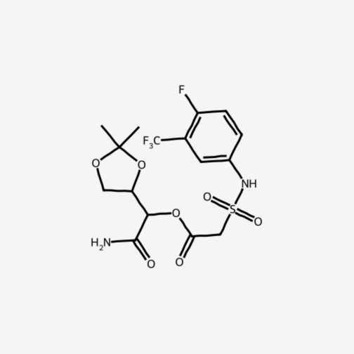 CC1(C)OCC(C(OC(=O)CS(=O)(=O)Nc2ccc(F)c(C(F)(F)F)c2)C(N)=O)O1